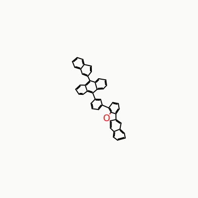 c1cc(-c2c3ccccc3c(-c3ccc4ccccc4c3)c3ccccc23)cc(-c2cccc3c2oc2cc4ccccc4cc23)c1